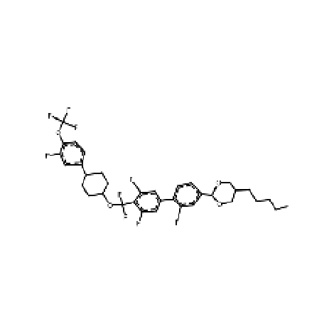 CCCCCC1COC(c2ccc(-c3cc(F)c(C(F)(F)OC4CCC(c5ccc(OC(F)(F)F)c(F)c5)CC4)c(F)c3)c(F)c2)OC1